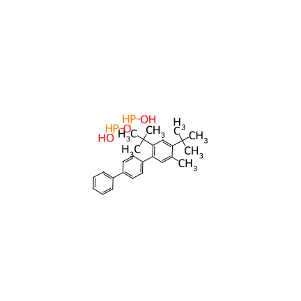 Cc1cc(-c2ccc(-c3ccccc3)cc2)c(C(C)(C)C)cc1C(C)(C)C.OPOPO